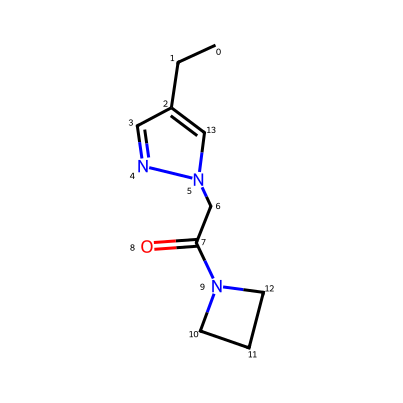 CCc1cnn(CC(=O)N2CCC2)c1